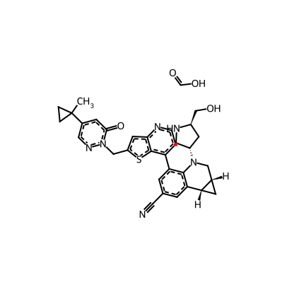 CC1(c2cnn(Cc3cc4nccc(-c5cc(C#N)cc6c5N([C@@H]5CN[C@@H](CO)C5)C[C@@H]5C[C@H]65)c4s3)c(=O)c2)CC1.O=CO